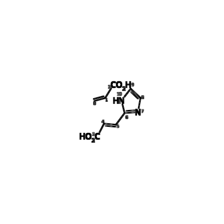 C=CC(=O)O.O=C(O)C=Cc1ncc[nH]1